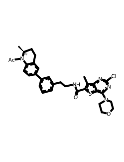 CC(=O)N1c2ccc(-c3cccc(CCNC(=O)c4sc5c(N6CCOCC6)nc(Cl)nc5c4C)c3)cc2CC[C@@H]1C